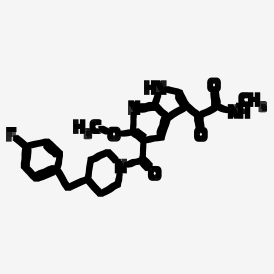 CNC(=O)C(=O)c1c[nH]c2nc(OC)c(C(=O)N3CCC(Cc4ccc(F)cc4)CC3)cc12